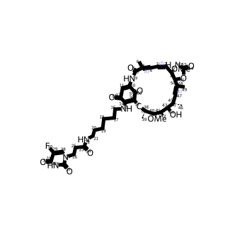 COC1/C=C\C=C(/C)C(=O)NC2=CC(=O)C(NCCCCCCNC(=O)CCn3cc(F)c(=O)[nH]c3=O)=C(C[C@@H](C)C[C@H](OC)C(O)[C@@H](C)/C=C(\C)C1OC(N)=O)C2=O